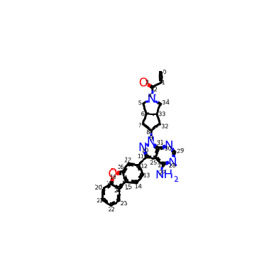 C=CC(=O)N1CC2CC(n3nc(-c4ccc5c(c4)oc4ccccc45)c4c(N)ncnc43)CC2C1